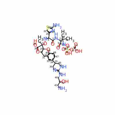 CC(ON=C(C(=O)NC1C(=O)N(OS(=O)(=O)O)C1(C)C)c1csc(N)n1)(C(=O)O)C1CCc2cc(C3CN=C(NCC(O)CN)NC3)ccc2O1.O=CO